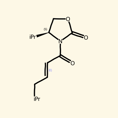 CC(C)C/C=C/C(=O)N1C(=O)OC[C@@H]1C(C)C